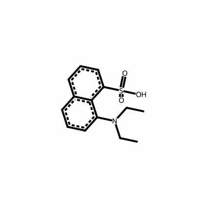 CCN(CC)c1cccc2cccc(S(=O)(=O)O)c12